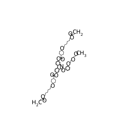 C=CC(=O)OCCCCCCOC1CCC(C(=O)Oc2ccc3c(c2)nc(Oc2cccc(OCCOCCOC)c2)c2cc(OC(=O)C4CCC(OCCCCCCOC(=O)C=C)CC4)ccc23)CC1